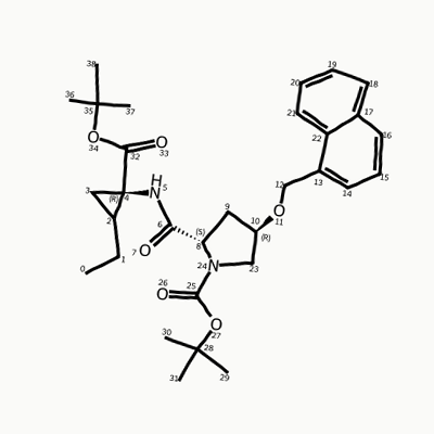 CCC1C[C@]1(NC(=O)[C@@H]1C[C@@H](OCc2cccc3ccccc23)CN1C(=O)OC(C)(C)C)C(=O)OC(C)(C)C